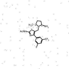 CC(=O)Nc1nc(-c2cc(F)cc(C(F)(F)F)c2)c(CN2[C@H](C)CC[C@H]2N)s1